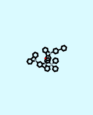 c1ccc(-c2ccc(-n3c4ccccc4c4cc(-n5c6cc(-n7c8ccccc8c8ccccc87)ccc6c6cccc([Si](c7ccccc7)(c7ccccc7)c7ccccc7)c65)ccc43)cc2)cc1